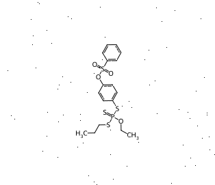 CCCSP(=S)(OCC)Sc1ccc(OS(=O)(=O)c2ccccc2)cc1